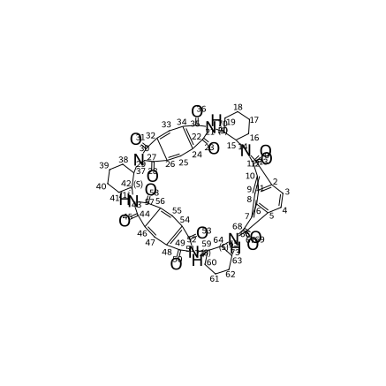 O=C1c2ccc3c4c5ccc(c24)C(=O)N1C1CCCC[C@@H]1n1c(=O)c2cc4c(=O)n(c(=O)c4cc2c1=O)C1CCCC[C@@H]1n1c(=O)c2cc4c(=O)n(c(=O)c4cc2c1=O)[C@H]1CCCC[C@@H]1N(C3=O)C5=O